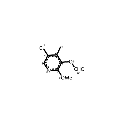 COc1ncc(Cl)c(C)c1OC=O